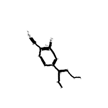 CCCC(CC)c1ccc(C#N)c(F)c1